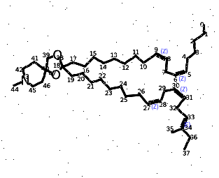 CCCCC/C=C\C/C=C\CCCCCCCCC1(CCCCCCCC/C=C\C/C=C\C/C=C(\C)CC)OCC2(CCN(C)CC2)O1